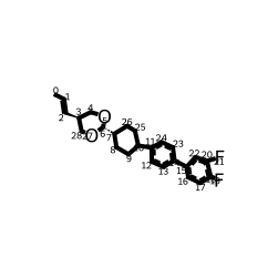 C/C=C/[C@H]1CO[C@H](C2CCC(c3ccc(-c4ccc(F)c(F)c4)cc3)CC2)OC1